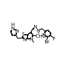 CN(Cc1ccc(F)c(Br)n1)/N=C\c1c(C=O)n(C)c2nc(Cc3cc[nH]n3)sc12